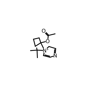 CC(=O)OC1([N+]2(C(C)(C)C)C=CN=CC2)CCC1